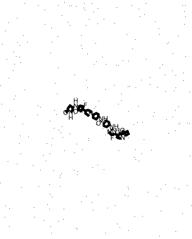 O=C1CCC(Nc2ccc(C3CCN([C@H]4CC[C@H](NC(=O)[C@H]5CC[C@H](Nc6ncc(F)c(-c7ccnc(C8(O)CCC8)c7)n6)CC5)CC4)CC3)c(F)c2)C(=O)N1